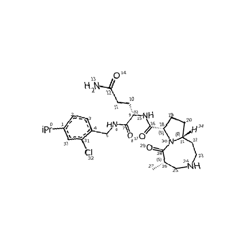 CC(C)c1ccc(CNC(=O)[C@H](CCC(N)=O)NC(=O)[C@@H]2CC[C@@H]3CCNC[C@H](C)C(=O)N32)c(Cl)c1